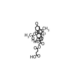 CC(=O)OC1C[C@@]2(C)[C@@H](CC[C@]2(O)C(=O)COC(=O)CCC(=O)O)[C@@H]2CC(C)C3=CC(=O)CC[C@]3(C)[C@@H]12